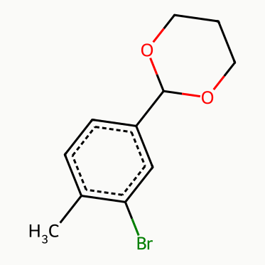 Cc1ccc(C2OCCCO2)cc1Br